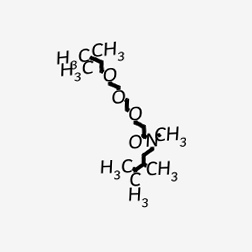 CC(C)C(C)CCN(C)C(=O)CCOCCOCCOCCC(C)(C)C